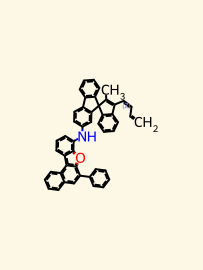 C=C/C=C\C1=C(C)C2(c3ccccc31)c1ccccc1-c1ccc(Nc3cccc4c3oc3c(-c5ccccc5)cc5ccccc5c34)cc12